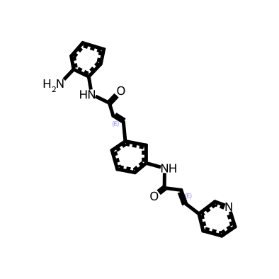 Nc1ccccc1NC(=O)/C=C/c1cccc(NC(=O)/C=C/c2cccnc2)c1